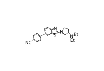 CCN(CC)C1CCN(c2nc3ccc(-c4ccc(C#N)cc4)cc3s2)C1